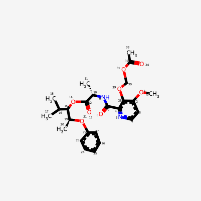 COc1ccnc(C(=O)N[C@@H](C)C(=O)OC(C(C)C)[C@H](C)Oc2ccccc2)c1OCOC(C)=O